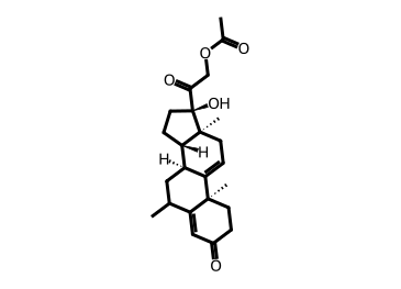 CC(=O)OCC(=O)[C@@]1(O)CC[C@H]2[C@@H]3CC(C)C4=CC(=O)CC[C@]4(C)C3=CC[C@@]21C